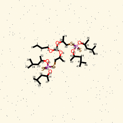 CCCCOB(OC(C)CSP(=S)(OC(C)CC(C)C)OC(C)CC(C)C)OC(C)CSP(=S)(OC(C)CC(C)C)OC(C)CC(C)C